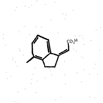 Cc1cccc2c1CC/C2=C/C(=O)O